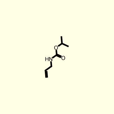 C=CCNC(=O)OC(C)C